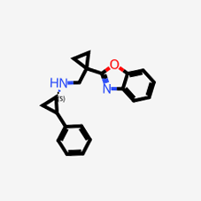 c1ccc(C2C[C@@H]2NCC2(c3nc4ccccc4o3)CC2)cc1